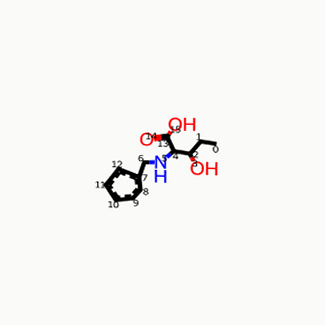 CCC(O)C(NCc1ccccc1)C(=O)O